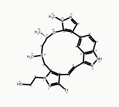 CCc1nn(CCO)c2c1/C=C/c1n[nH]c3ccc(cc13)-c1cnn(C)c1O[C@@H](C)CN(C)C2